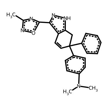 Cc1noc(-c2n[nH]c3c2C=CC(c2ccccc2)(c2ccc(N(C)C)cc2)C3)n1